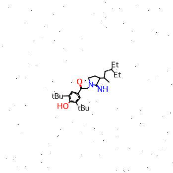 CCC(CC)CC(C)C1CCN(CC(=O)c2cc(C(C)(C)C)c(O)c(C(C)(C)C)c2)C1=N